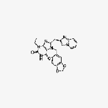 CCn1c(=O)[nH]c(=O)c2c1nc(Cc1cn3ccccc3n1)n2Cc1ccc2c(c1)OCO2